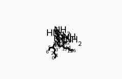 CCCCC(CC)CN(CC(CC)CCCC)c1nc(NN)nc(NN)n1